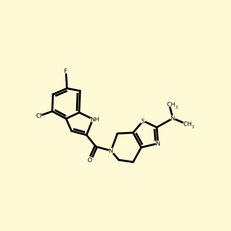 CN(C)c1nc2c(s1)CN(C(=O)c1cc3c(Cl)cc(F)cc3[nH]1)CC2